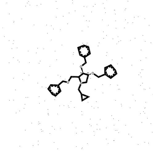 c1ccc(COCC2[C@@H](OCc3ccccc3)[C@H](OCc3ccccc3)CN2CC2CC2)cc1